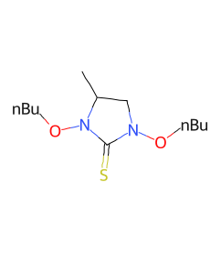 CCCCON1CC(C)N(OCCCC)C1=S